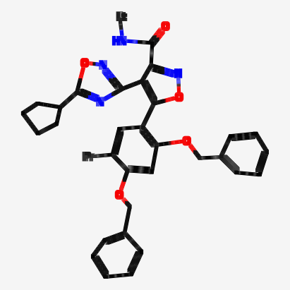 CCNC(=O)c1noc(-c2cc(C(C)C)c(OCc3ccccc3)cc2OCc2ccccc2)c1-c1noc(C2CCCC2)n1